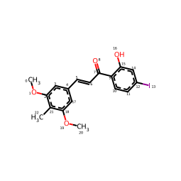 COc1cc(/C=C/C(=O)c2ccc(I)cc2O)cc(OC)c1C